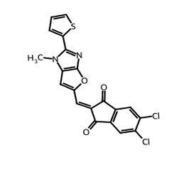 Cn1c(-c2cccs2)nc2oc(C=C3C(=O)c4cc(Cl)c(Cl)cc4C3=O)cc21